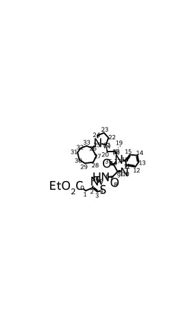 CCOC(=O)Cc1csc(NC(=O)c2nc3ccccc3n([C@@H](C)C[C@@H]3CCCN3C3CCCCCCC3)c2=O)n1